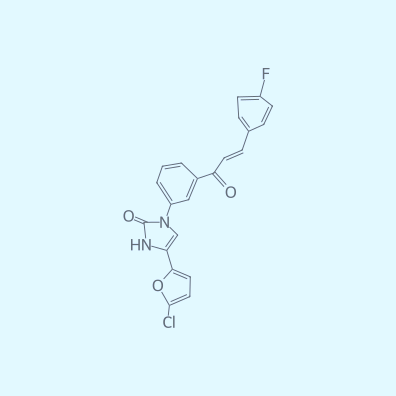 O=C(C=Cc1ccc(F)cc1)c1cccc(-n2cc(-c3ccc(Cl)o3)[nH]c2=O)c1